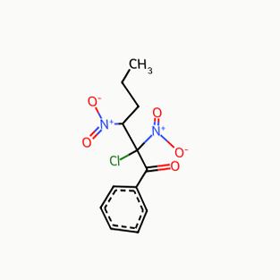 CCCC([N+](=O)[O-])C(Cl)(C(=O)c1ccccc1)[N+](=O)[O-]